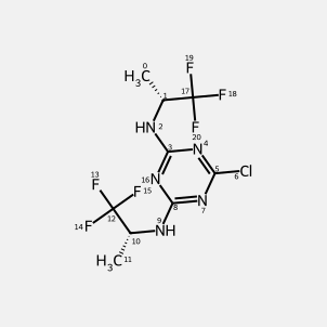 C[C@@H](Nc1nc(Cl)nc(N[C@H](C)C(F)(F)F)n1)C(F)(F)F